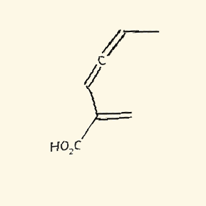 C=C(C=C=CC)C(=O)O